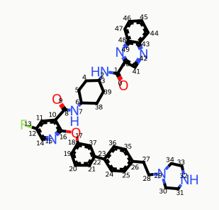 O=C(NC1CCC(NC(=O)c2cc(F)cnc2Oc2cccc(-c3ccc(CCN4CCNCC4)cc3)c2)CC1)c1cnc2ccccc2n1